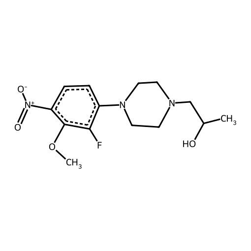 COc1c([N+](=O)[O-])ccc(N2CCN(CC(C)O)CC2)c1F